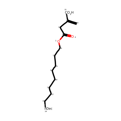 C=C(CC(=O)OCCCCCCCCCCCCCCCCCC)C(=O)O